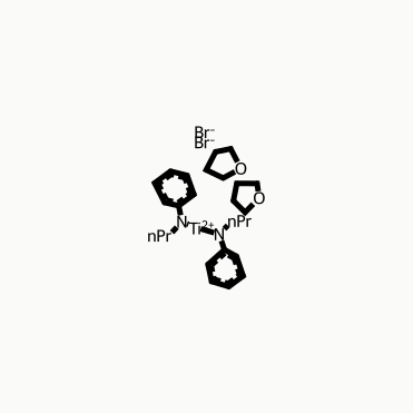 C1CCOC1.C1CCOC1.CCC[N]([Ti+2][N](CCC)c1ccccc1)c1ccccc1.[Br-].[Br-]